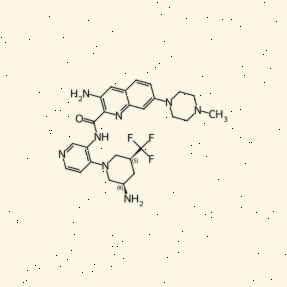 CN1CCN(c2ccc3cc(N)c(C(=O)Nc4cnccc4N4C[C@H](N)C[C@H](C(F)(F)F)C4)nc3c2)CC1